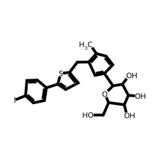 Cc1ccc(C2OC(CO)C(O)C(O)C2O)cc1Cc1ccc(-c2ccc(I)cc2)s1